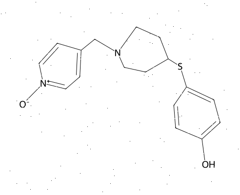 [O-][n+]1ccc(CN2CCC(Sc3ccc(O)cc3)CC2)cc1